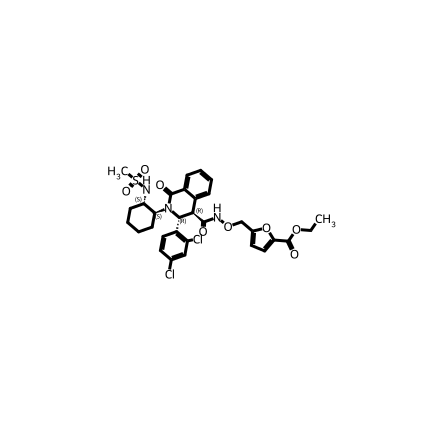 CCOC(=O)c1ccc(CONC(=O)[C@@H]2c3ccccc3C(=O)N([C@H]3CCCC[C@@H]3NS(C)(=O)=O)[C@H]2c2ccc(Cl)cc2Cl)o1